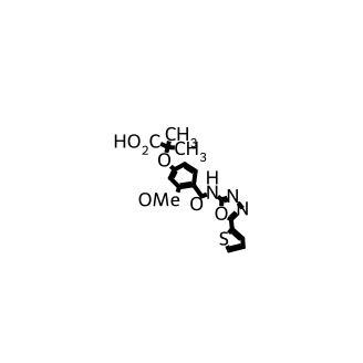 COc1cc(OC(C)(C)C(=O)O)ccc1C(=O)Nc1nnc(-c2cccs2)o1